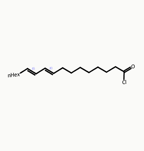 CCCCCC/C=C/C=C/CCCCCCCC(=O)Cl